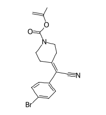 C=C(C)OC(=O)N1CCC(=C(C#N)c2ccc(Br)cc2)CC1